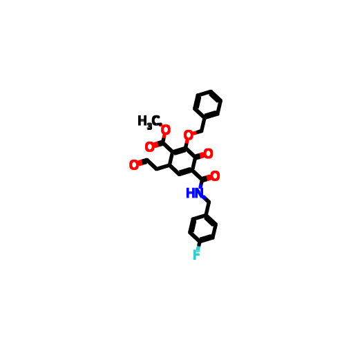 COC(=O)C1=C(OCc2ccccc2)C(=O)C(C(=O)NCc2ccc(F)cc2)=CC1CC=O